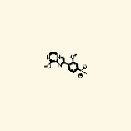 COc1cc(S(C)(=O)=O)ccc1-c1cn2ccnc(OC)c2n1